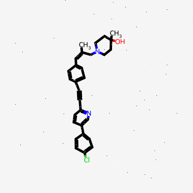 CC(=Cc1ccc(C#Cc2ccc(-c3ccc(Cl)cc3)cn2)cc1)CN1CCC(C)(O)CC1